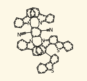 N#Cc1c(-n2c3ccccc3c3ccccc32)c(-n2c3ccccc3c3ccccc32)c(C#N)c(-n2c3cccc(-c4cccc5sc6ccccc6c45)c3c3c4sc5ccccc5c4ccc32)c1-n1c2ccccc2c2ccccc21